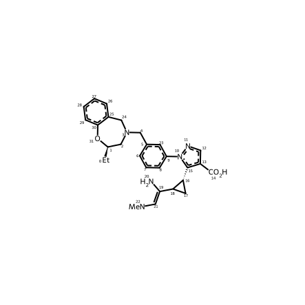 CC[C@@H]1CN(Cc2cccc(-n3ncc(C(=O)O)c3[C@@H]3CC3/C(N)=C/NC)c2)Cc2ccccc2O1